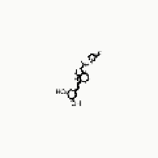 C[C@@H](CN1CC[C@@H](F)C1)[C@H]1CC[C@H]2C(=CC=C3C[C@@H](O)C[C@@H](O)C3)CCC[C@]12C